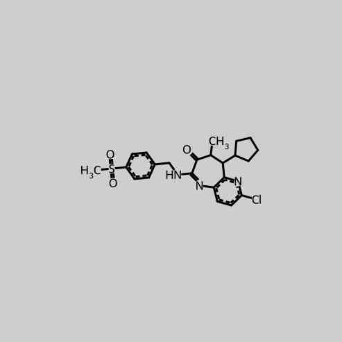 CC1C(=O)C(NCc2ccc(S(C)(=O)=O)cc2)=Nc2ccc(Cl)nc2C1C1CCCC1